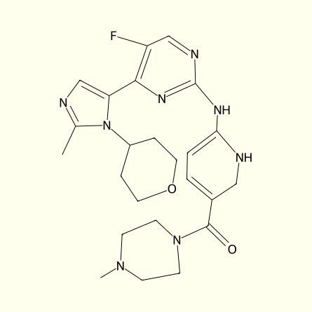 Cc1ncc(-c2nc(NC3=CC=C(C(=O)N4CCN(C)CC4)CN3)ncc2F)n1C1CCOCC1